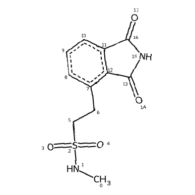 CNS(=O)(=O)CCc1cccc2c1C(=O)NC2=O